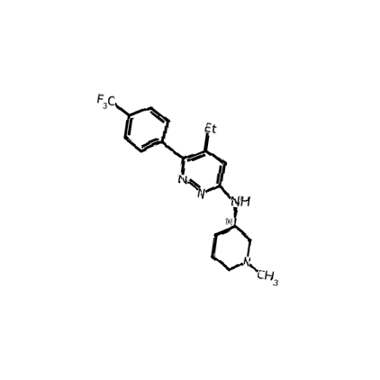 CCc1cc(N[C@@H]2CCCN(C)C2)nnc1-c1ccc(C(F)(F)F)cc1